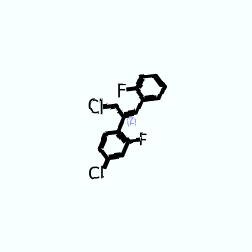 Fc1ccccc1/C=C(\CCl)c1ccc(Cl)cc1F